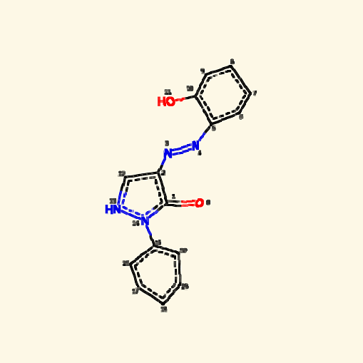 O=c1c(N=Nc2ccccc2O)c[nH]n1-c1ccccc1